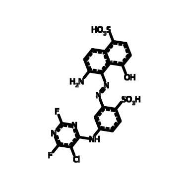 Nc1ccc2c(S(=O)(=O)O)ccc(O)c2c1/N=N/c1cc(Nc2nc(F)nc(F)c2Cl)ccc1S(=O)(=O)O